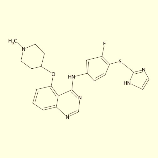 CN1CCC(Oc2cccc3ncnc(Nc4ccc(Sc5ncc[nH]5)c(F)c4)c23)CC1